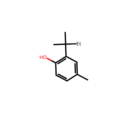 CCC(C)(C)c1cc(C)ccc1O